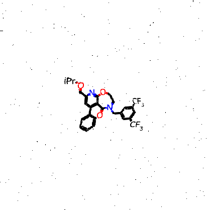 CC(C)OCc1cc(-c2ccccc2)c2c(n1)OCCN(Cc1cc(C(F)(F)F)cc(C(F)(F)F)c1)C2=O